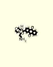 NCCCN1CCOCC1NC(=O)c1ccc2c(c1)C(=O)c1ccccc1C2=O